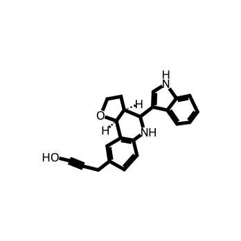 OC#CCc1ccc2c(c1)[C@H]1OCC[C@H]1C(c1c[nH]c3ccccc13)N2